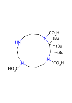 CC(C)(C)C1N(C(=O)O)CCCN(C(=O)O)CCNCCCN(C(=O)O)C1(C(C)(C)C)C(C)(C)C